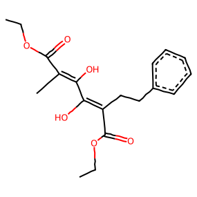 CCOC(=O)/C(C)=C(O)/C(O)=C(\CCc1ccccc1)C(=O)OCC